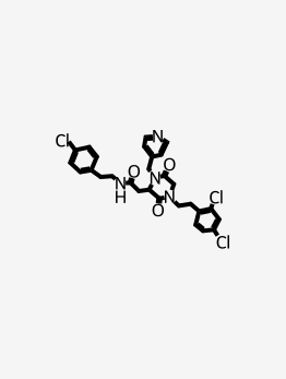 O=C(CC1C(=O)N(CCc2ccc(Cl)cc2Cl)CC(=O)N1Cc1ccncc1)NCCc1ccc(Cl)cc1